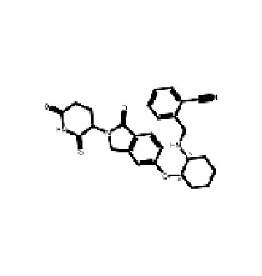 N#Cc1ccccc1CN[C@H]1CCCC[C@H]1Oc1ccc2c(c1)CN(C1CCC(=O)NC1=O)C2=O